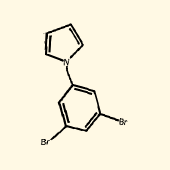 Brc1cc(Br)cc(-n2c[c]cc2)c1